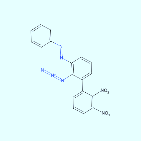 [N-]=[N+]=Nc1c(N=Nc2ccccc2)cccc1-c1cccc([N+](=O)[O-])c1[N+](=O)[O-]